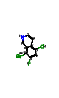 Fc1cc(Cl)c2ccncc2c1Br